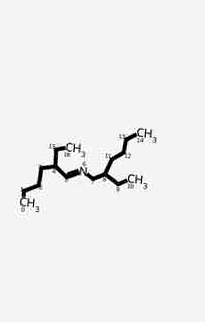 CCCCC(C=NCC(CC)CCCC)CC